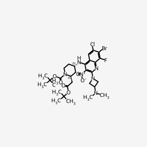 CN(C)C1CN(c2nc3c(F)c(Br)c(Cl)cc3c(N[C@H]3CCN(C(=O)OC(C)(C)C)[C@H](CC(=O)OC(C)(C)C)C3)c2[N+](=O)[O-])C1